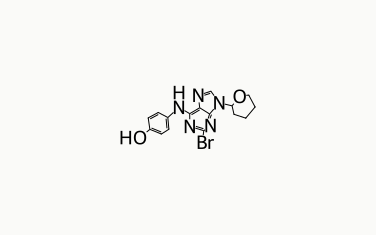 Oc1ccc(Nc2nc(Br)nc3c2ncn3C2CCCCO2)cc1